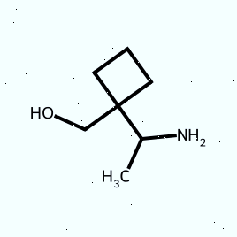 CC(N)C1(CO)CCC1